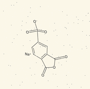 O=C1OC(=O)c2cc(S(=O)(=O)[O-])ccc21.[Na+]